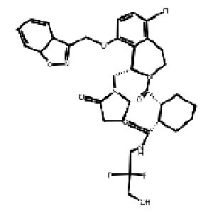 O=C(NCC(F)(F)CO)[C@H]1CCCC[C@H]1C(=O)N1CCc2c(Cl)ccc(OCC3=NOC4C=CC=CC34)c2[C@H]1CN1CCCC1=O